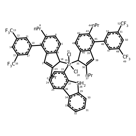 CCCC1=Cc2c(ccc(CCC)c2-c2cc(C(F)(F)F)cc(C(F)(F)F)c2)[CH]1[Zr]([Cl])([Cl])([c]1cccc2c1[SiH2]c1ccccc1-2)[CH]1C(CCC)=Cc2c1ccc(CCC)c2-c1cc(C(F)(F)F)cc(C(F)(F)F)c1